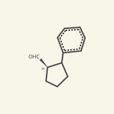 O=C[C@@H]1CCCC1c1ccccc1